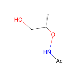 CC(=O)NO[C@@H](C)CO